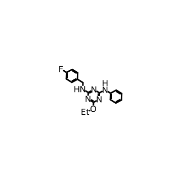 CCOc1nc(NCc2ccc(F)cc2)nc(Nc2ccccc2)n1